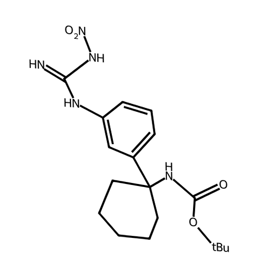 CC(C)(C)OC(=O)NC1(c2cccc(NC(=N)N[N+](=O)[O-])c2)CCCCC1